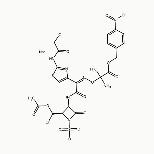 CC(=O)OC(Cl)[C@H]1[C@@H](NC(=O)/C(=N\OC(C)(C)C(=O)OCc2ccc([N+](=O)[O-])cc2)c2csc(NC(=O)CCl)n2)C(=O)N1S(=O)(=O)[O-].[Na+]